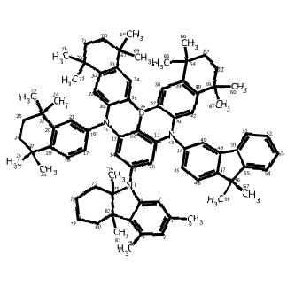 Cc1cc(C)c2c(c1)N(c1cc3c4c(c1)N(c1ccc5c(c1)C(C)(C)CCC5(C)C)c1cc5c(cc1B4c1cc4c(cc1N3c1ccc3c(c1)-c1ccccc1C3(C)C)C(C)(C)CCC4(C)C)C(C)(C)CCC5(C)C)C1(C)CCCCC21C